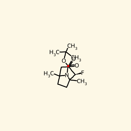 CC(C)(C)OC(=O)N1C2(C)CCC1(C)[C@H](F)C(=O)C2